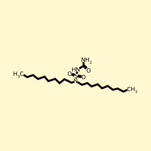 CCCCCCCCCCN(CCCCCCCCCC)S(=O)(=O)NC(N)=O